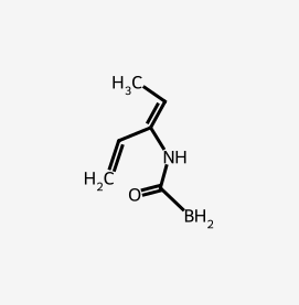 BC(=O)N/C(C=C)=C/C